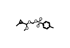 COC(OCOS(=O)(=O)c1ccc(C)cc1)C1=C(C)C1